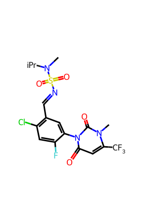 CC(C)N(C)S(=O)(=O)N=Cc1cc(-n2c(=O)cc(C(F)(F)F)n(C)c2=O)c(F)cc1Cl